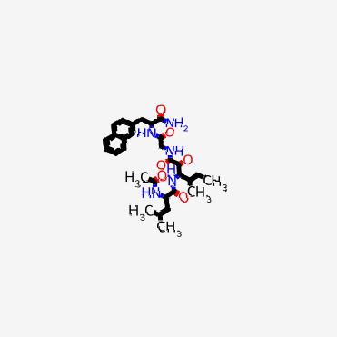 CCC(C)C(NC(=O)C(CC(C)C)NC(C)=O)C(=O)C(=O)NCC(=O)NC(Cc1ccc2ccccc2c1)C(N)=O